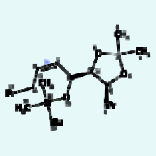 CCC[C@@H]1OC(C)(C)O[C@@H]1C(/C=C\CC(C)C)O[Si](C)(C)C(C)(C)C